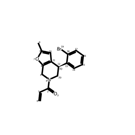 C=CC(=O)N1Cc2oc(C)cc2[C@@H](c2ccccc2Br)C1